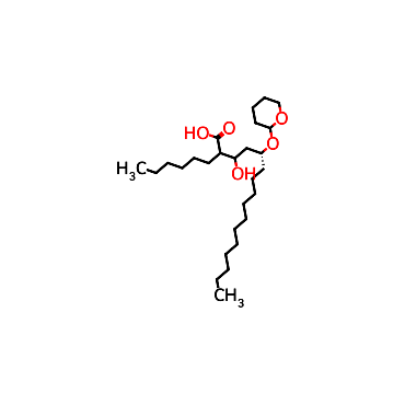 CCCCCCCCCCC[C@H](CC(O)C(CCCCCC)C(=O)O)OC1CCCCO1